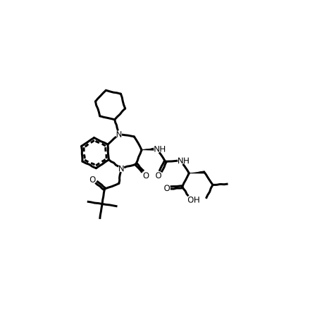 CC(C)C[C@H](NC(=O)N[C@@H]1CN(C2CCCCC2)c2ccccc2N(CC(=O)C(C)(C)C)C1=O)C(=O)O